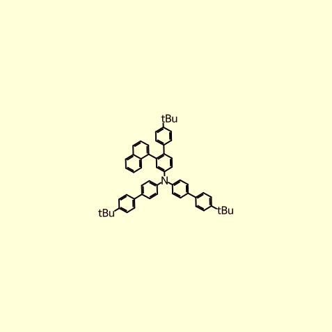 CC(C)(C)c1ccc(-c2ccc(N(c3ccc(-c4ccc(C(C)(C)C)cc4)cc3)c3ccc(-c4ccc(C(C)(C)C)cc4)c(-c4cccc5ccccc45)c3)cc2)cc1